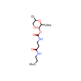 CCC(CO)OC(COC(=O)NCCC(=O)NCCSC)OC